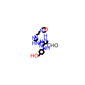 O=Cc1c[nH]c2nc(Nc3cnn(CCCN4CCOCC4)c3)nc(NC3CCC(CO)CC3)c12